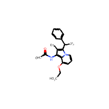 CCc1c(NC(=O)C=O)c2c(OCC(=O)O)cccn2c1C(c1ccccc1)C(F)(F)F